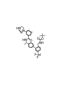 C[C@@H](NC(=O)c1cncc(N2CCNC=N2)c1)c1ccc(-c2cc(C(F)(F)F)ccc2CNC(=O)OC(C)(C)C)cc1